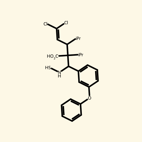 CC(C)C(C=C(Cl)Cl)C(C(=O)O)(C(C)C)C(NS)c1cccc(Oc2ccccc2)c1